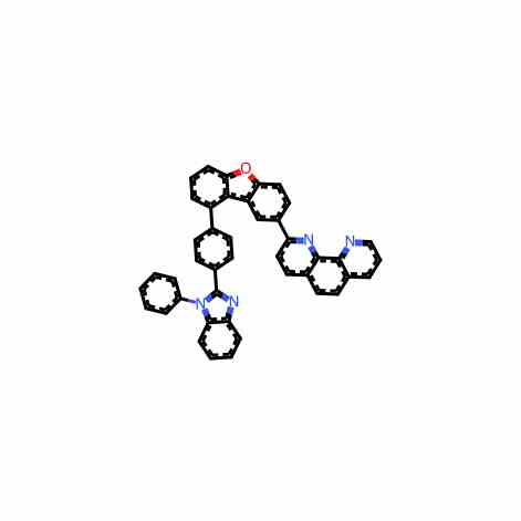 c1ccc(-n2c(-c3ccc(-c4cccc5oc6ccc(-c7ccc8ccc9cccnc9c8n7)cc6c45)cc3)nc3ccccc32)cc1